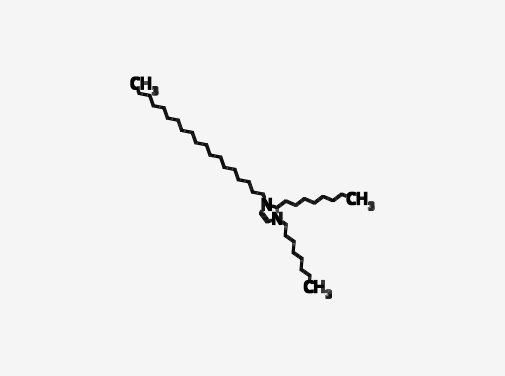 CCCCCCCCCCCCCCCCCCCN1C=CN(CCCCCCCC)C1CCCCCCCC